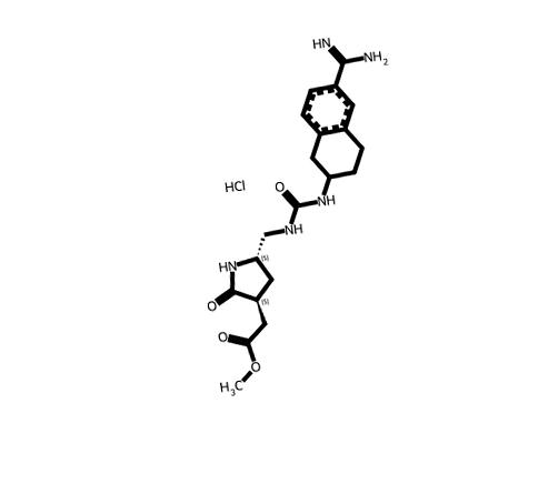 COC(=O)C[C@@H]1C[C@@H](CNC(=O)NC2CCc3cc(C(=N)N)ccc3C2)NC1=O.Cl